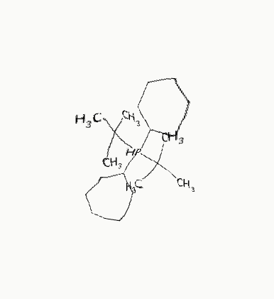 CC(C)(C)[PH](C1CCCCC1)(C1CCCCC1)C(C)(C)C